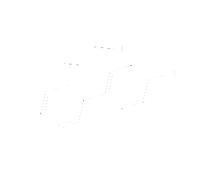 OCCO.Oc1ccc(-c2ccccc2)cc1